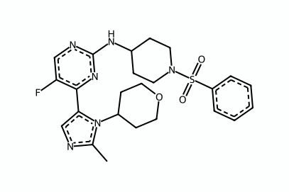 Cc1ncc(-c2nc(NC3CCN(S(=O)(=O)c4ccccc4)CC3)ncc2F)n1C1CCOCC1